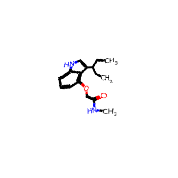 CCC(CC)c1c[nH]c2cccc(OCC(=O)NC)c12